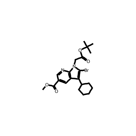 COC(=O)c1cnc2c(c1)c(C1CCCCC1)c(Br)n2CC(=O)OC(C)(C)C